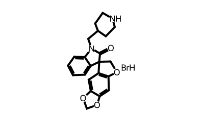 Br.O=C1N(CC2CCNCC2)c2ccccc2C12COc1cc3c(cc12)OCO3